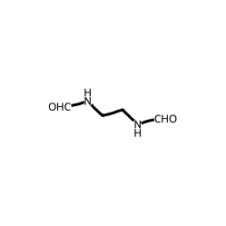 O=CNCCNC=O